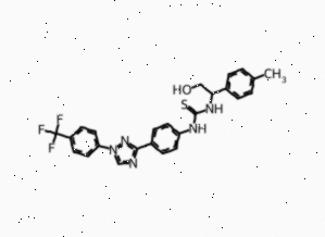 Cc1ccc(C(CO)NC(=S)Nc2ccc(-c3ncn(-c4ccc(C(F)(F)F)cc4)n3)cc2)cc1